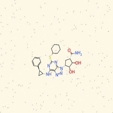 NC(=O)[C@H]1C[C@@H](n2nnc3c(N[C@@H]4C[C@H]4c4ccccc4)nc(SC4CCCCC4)nc32)[C@H](O)[C@@H]1O